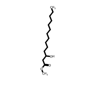 CCCCCCCCCCCC(O)CC(=O)OC